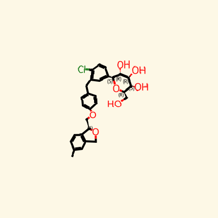 Cc1ccc2c(c1)CO[C@@H]2COc1ccc(Cc2cc([C@@H]3O[C@H](CO)[C@@H](O)[C@H](O)[C@H]3O)ccc2Cl)cc1